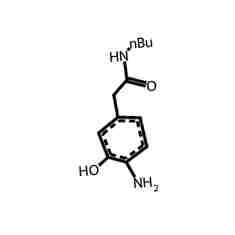 CCCCNC(=O)Cc1ccc(N)c(O)c1